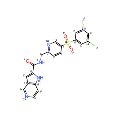 O=C(NCc1ccc(S(=O)(=O)c2cc(F)cc(F)c2)cn1)c1cc2cnccc2[nH]1